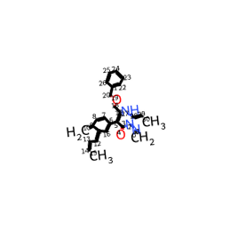 C=NN1C(=O)C(c2ccc(=C)/c(=C\C=C/C)c2)=C(COCc2ccccc2)N/C1=C/C